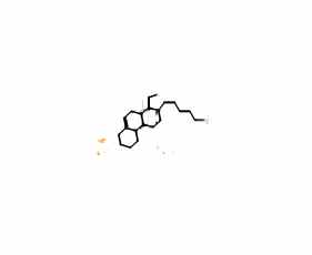 CC(C)CCC[C@@H](C)[C@H]1CC[C@H]2[C@@H]3CC=C4C[C@@H](OS(=O)[O-])CC[C@]4(C)[C@H]3CC[C@]12C.[Na+]